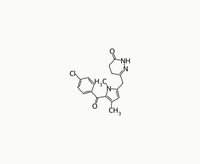 Cc1cc(CC2=NNC(=O)CC2)n(C)c1C(=O)c1ccc(Cl)cc1